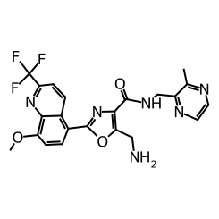 COc1ccc(-c2nc(C(=O)NCc3nccnc3C)c(CN)o2)c2ccc(C(F)(F)F)nc12